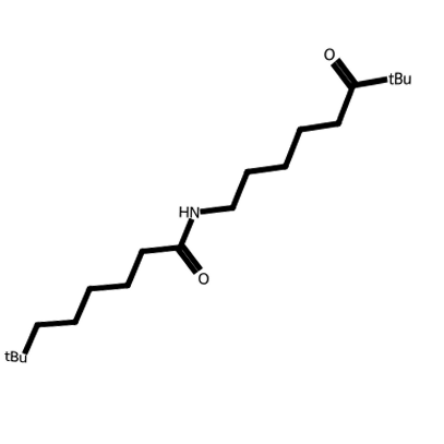 CC(C)(C)CCCCCC(=O)NCCCCCC(=O)C(C)(C)C